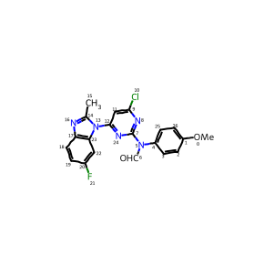 COc1ccc(N(C=O)c2nc(Cl)cc(-n3c(C)nc4ccc(F)cc43)n2)cc1